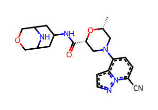 C[C@@H]1CN(c2ccc(C#N)n3nccc23)C[C@H](C(=O)NC2CC3COCC(C2)N3)O1